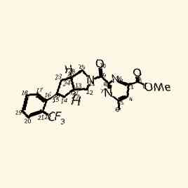 COC(=O)c1cc(C)nc(C(=O)N2C[C@H]3C[C@@H](c4ccccc4C(F)(F)F)C[C@H]3C2)n1